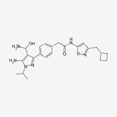 CC(C)n1nc(-c2ccc(CC(=O)Nc3cc(CC4CCC4)no3)cc2)c(C(N)O)c1N